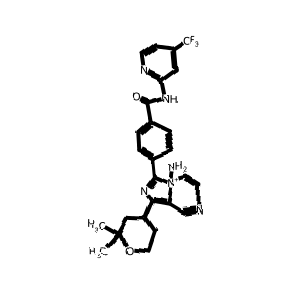 CC1(C)CC(C2=C3C=NC=C[N+]3(N)C(c3ccc(C(=O)Nc4cc(C(F)(F)F)ccn4)cc3)=N2)CCO1